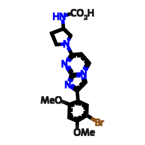 COc1cc(OC)c(-c2cn3ccc(N4CCC(NC(=O)O)C4)nc3n2)cc1Br